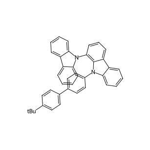 CC(C)(C)c1ccc(-c2ccc(-n3c4ccccc4c4cccc(-n5c6ccccc6c6ccccc65)c43)cc2)cc1